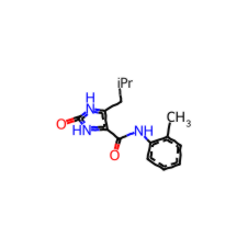 Cc1ccccc1NC(=O)c1[nH]c(=O)[nH]c1CC(C)C